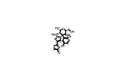 CO[C@@H]1[C@H](S)O[C@@H](CO)[C@@H](O)[C@@]1(c1cc(Cl)cnc1C#N)n1cc(-c2nc(Cl)cs2)nn1